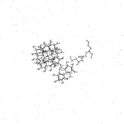 CCCCC(CC)CC[NH2+]CC(C)CCC.Fc1c(F)c(F)c(-c2c(F)c(F)c(F)c(F)c2F)c(F)c1F.Fc1c(F)c(F)c2[c]([Al-]([c]3c(F)c(F)c(F)c4c(F)c(F)c(F)c(F)c34)([c]3c(F)c(F)c(F)c4c(F)c(F)c(F)c(F)c34)[c]3c(F)c(F)c(F)c4c(F)c(F)c(F)c(F)c34)c(F)c(F)c(F)c2c1F